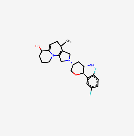 CC1CC=C2C(O)CCCN2C2=C1CN([C@H]1CO[C@H](c3cc(F)ccc3F)[C@@H](N)C1)C2